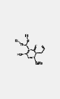 CCOC(OCC)c1c(O)cc(OC)c2ccccc12